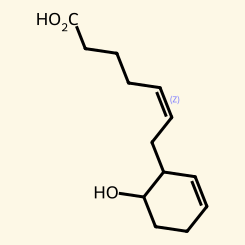 O=C(O)CCC/C=C\CC1C=CCCC1O